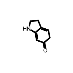 O=C1C=C2NCCC2=CC1